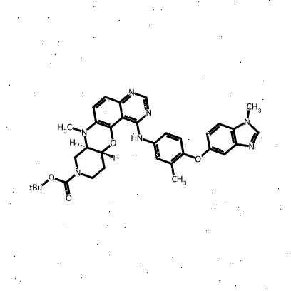 Cc1cc(Nc2ncnc3ccc4c(c23)O[C@@H]2CCN(C(=O)OC(C)(C)C)C[C@H]2N4C)ccc1Oc1ccc2c(c1)ncn2C